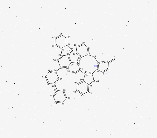 C=C/C=C\C1=C(/C)Cc2ccccc2N(c2nc(-c3cccc(-c4ccccc4)c3)nc3c2sc2ccccc23)C(=C)c2c1sc1ccccc21